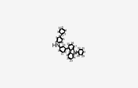 c1ccc(-c2ccc(Nc3cccc(-c4cccc5c4c4ccccc4n5-c4ccccc4)c3)cc2)cc1